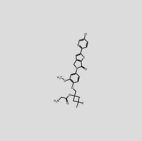 COc1cc(N2Cc3cc(-c4ccc(Cl)cn4)sc3C2=O)ccc1OCC1(OC(=O)CN)CC(F)(F)C1